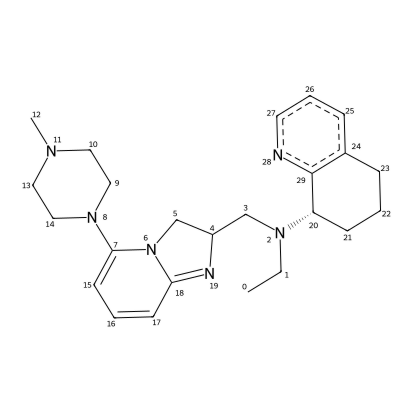 CCN(CC1CN2C(N3CCN(C)CC3)=CC=CC2=N1)[C@H]1CCCc2cccnc21